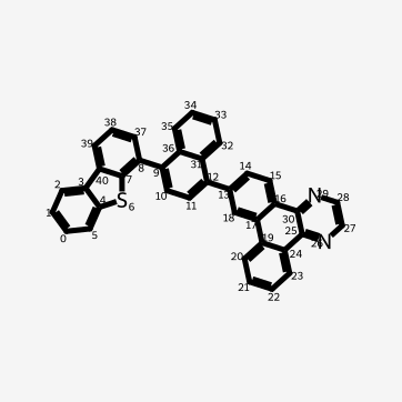 c1ccc2c(c1)sc1c(-c3ccc(-c4ccc5c(c4)c4ccccc4c4nccnc54)c4ccccc34)cccc12